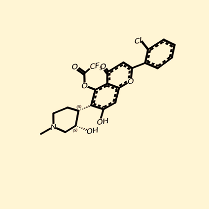 CN1CC[C@H](c2c(O)cc3oc(-c4ccccc4Cl)cc(=O)c3c2OC(=O)C(F)(F)F)[C@H](O)C1